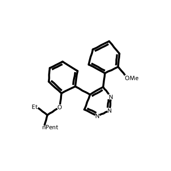 CCCCCC(CC)Oc1ccccc1-c1cnnnc1-c1ccccc1OC